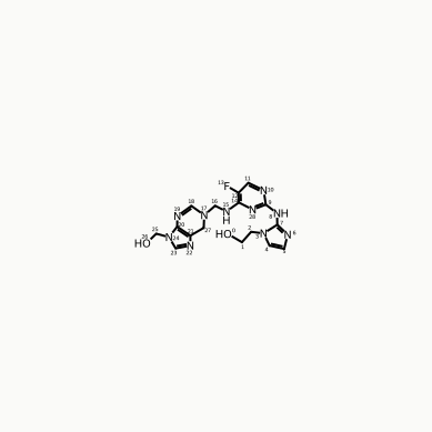 OCCn1ccnc1Nc1ncc(F)c(NCN2C=Nc3c(ncn3CO)C2)n1